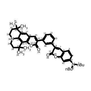 CCCCN(CCCC)c1ccc2cc(-c3cccc(-c4cc5cc6c7c(c5oc4=O)C(C)(C)CCN7CCC6(C)C)c3)c(=O)oc2c1